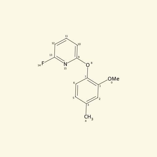 COc1cc(C)ccc1Oc1cccc(F)n1